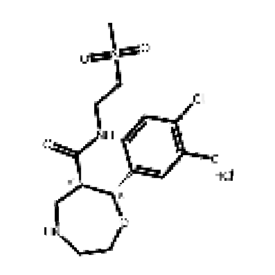 CS(=O)(=O)CCNC(=O)[C@@H]1CNCCO[C@H]1c1ccc(Cl)c(Cl)c1.Cl